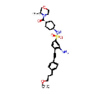 CC(C)[C@H]1COCCN1C(=O)[C@H]1CC[C@H](NS(=O)(=O)c2ccc(C#Cc3ccc(CCCOC=O)cc3)c(N)c2)CC1